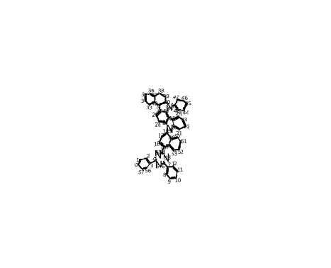 c1ccc(-c2nc(-c3ccccc3)nc(-c3ccc(-n4c5ccccc5c5c4ccc4c6c7ccccc7ccc6n(-c6ccccc6)c45)c4ccccc34)n2)cc1